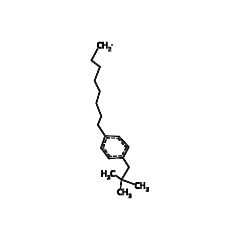 [CH2]CCCCCCCc1ccc(CC(C)(C)C)cc1